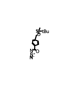 CC(C)(C)[Si](C)(C)OCc1ccc(C(=O)N=[N+]=[N-])cc1